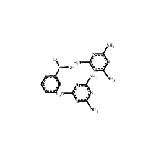 Nc1nc(N)nc(N)n1.Nc1nc(N)nc(N)n1.OP(O)c1ccccc1